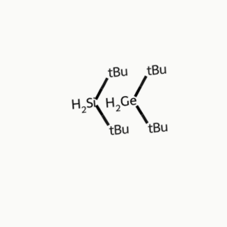 CC(C)(C)[SiH2]C(C)(C)C.C[C](C)(C)[GeH2][C](C)(C)C